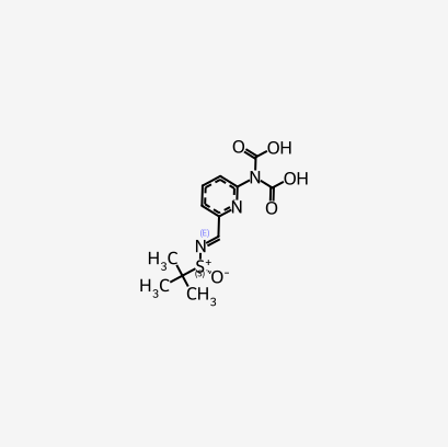 CC(C)(C)[S@@+]([O-])/N=C/c1cccc(N(C(=O)O)C(=O)O)n1